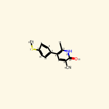 CCSc1ccc(-c2cc(C#N)c(=O)[nH]c2C)cc1